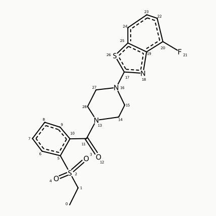 CCS(=O)(=O)c1ccccc1C(=O)N1CCN(c2nc3c(F)cccc3s2)CC1